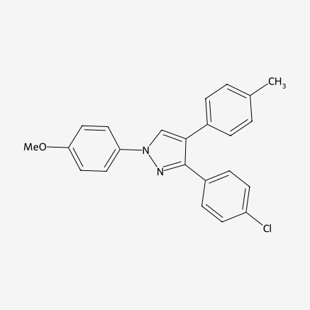 COc1ccc(-n2cc(-c3ccc(C)cc3)c(-c3ccc(Cl)cc3)n2)cc1